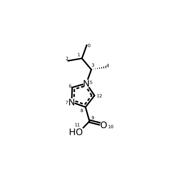 CC(C)[C@H](C)n1cnc(C(=O)O)c1